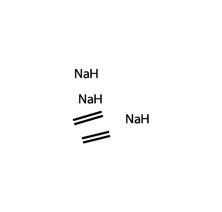 C=C.C=C.[NaH].[NaH].[NaH]